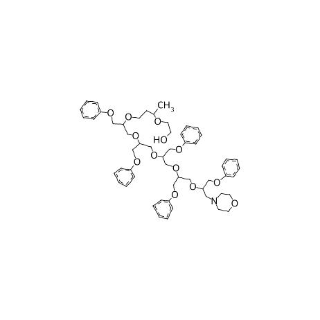 CC(CCOC(COc1ccccc1)COC(COc1ccccc1)COC(COc1ccccc1)COC(COc1ccccc1)COC(COc1ccccc1)CN1CCOCC1)OCCO